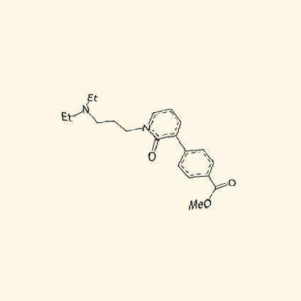 CCN(CC)CCCn1cccc(-c2ccc(C(=O)OC)cc2)c1=O